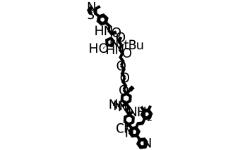 C#CC1(OCCOCCOCCC(=O)N[C@H](C(=O)N2C[C@H](O)C[C@H]2C(=O)NCc2ccc(-c3scnc3C)cc2)C(C)(C)C)CCC(CCC2(N)CCC(Cl)(c3ncc(-c4cccnc4)cc3/C=C/c3ccc(C)c(C)c3)CC2)(N=[N+]=[N-])CC1